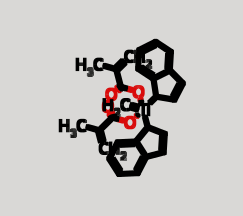 C=C(C)C(=O)[O][Ti](=[CH2])([O]C(=O)C(=C)C)([CH]1C=Cc2ccccc21)[CH]1C=Cc2ccccc21